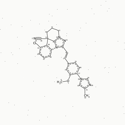 COc1cc(C=Cc2nc3n(n2)CCCC3(C#N)c2ccccc2Cl)ccc1-n1cnc(C)c1